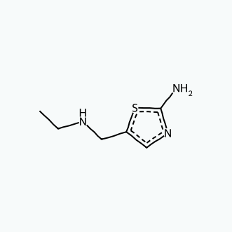 CCNCc1cnc(N)s1